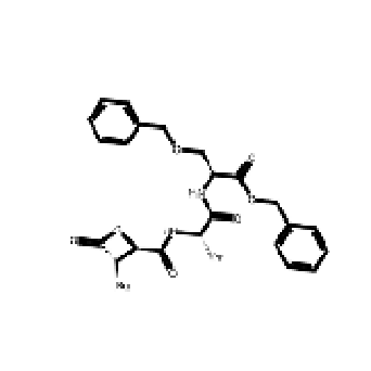 CC[C@H](C)[C@@H]1C(=O)O[C@H]1C(=O)N[C@H](C(=O)N[C@@H](COCc1ccccc1)C(=O)OCc1ccccc1)C(C)C